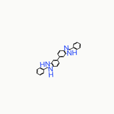 c1ccc(-c2nc3ccc(-c4ccc5c(c4)NC(c4ccccc4)N5)cc3[nH]2)cc1